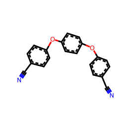 N#Cc1ccc(Oc2ccc(Oc3ccc(C#N)cc3)cc2)cc1